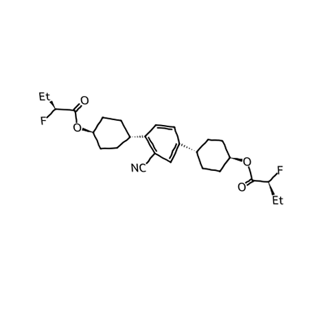 CC[C@H](F)C(=O)O[C@H]1CC[C@H](c2ccc([C@H]3CC[C@H](OC(=O)[C@@H](F)CC)CC3)c(C#N)c2)CC1